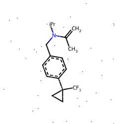 C=C(C)N(Cc1ccc(C2(C(F)(F)F)CC2)cc1)C(C)C